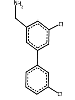 NCc1[c]c(Cl)cc(-c2cccc(Cl)c2)c1